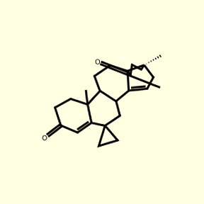 CC12CCC(=O)C=C1C1(CC1)CC1C3=CC[C@@]4(C)CCC(=O)C34CCC12